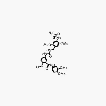 CCOc1ccc(NC(=O)NCc2cc(OC)c(NS(C)(=O)=O)cc2OC)cc1C(=O)Nc1ccc(OC)c(OC)c1